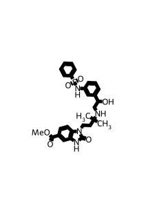 COC(=O)c1ccc2c(c1)[nH]c(=O)n2CCC(C)(C)NCC(O)c1cccc(NS(=O)(=O)c2ccccc2)c1